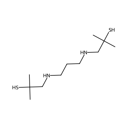 CC(C)(S)CNCCCNCC(C)(C)S